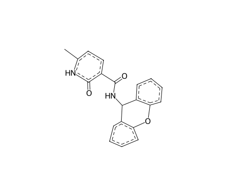 Cc1ccc(C(=O)NC2c3ccccc3Oc3ccccc32)c(=O)[nH]1